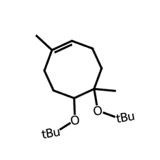 CC1=CCCC(C)(OC(C)(C)C)C(OC(C)(C)C)CC1